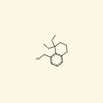 CSC1(SC)CCOc2cccc(CO)c21